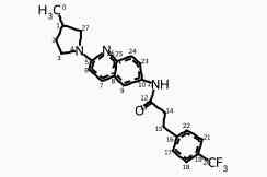 CC1CCN(c2ccc3cc(NC(=O)CCc4ccc(C(F)(F)F)cc4)ccc3n2)C1